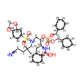 CC(C)(CCC#N)CN(C[C@@H](OP(=O)(OCc1ccccc1)OCc1ccccc1)[C@H](Cc1ccccc1)NC(=O)O)S(=O)(=O)c1ccc2c(c1)OCO2